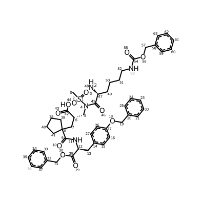 CS(=O)(=O)N(C[C@H](CC1(C(=O)N[C@@H](Cc2ccc(OCc3ccccc3)cc2)C(=O)OCc2ccccc2)CCCC1)C(=O)O)C(=O)[C@@H](N)CCCCNC(=O)OCc1ccccc1